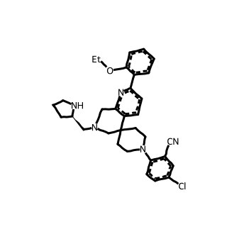 CCOc1ccccc1-c1ccc2c(n1)CN(C[C@H]1CCCN1)CC21CCN(c2ccc(Cl)cc2C#N)CC1